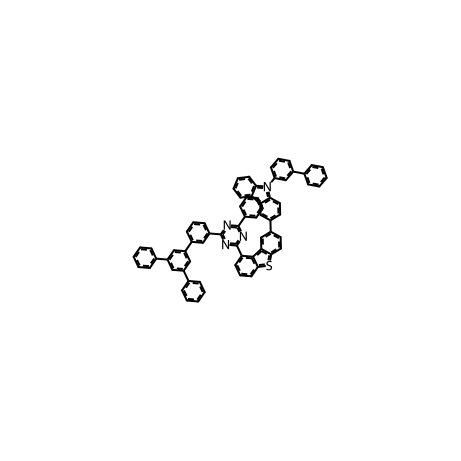 c1ccc(-c2cc(-c3ccccc3)cc(-c3cccc(-c4nc(-c5ccccc5)nc(-c5cccc6sc7ccc(-c8ccc9c(c8)c8ccccc8n9-c8cccc(-c9ccccc9)c8)cc7c56)n4)c3)c2)cc1